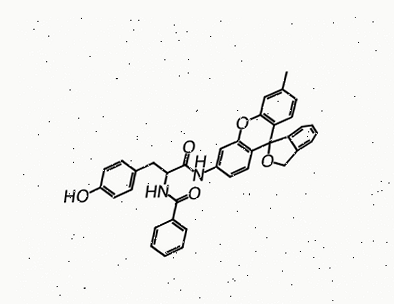 Cc1ccc2c(c1)Oc1cc(NC(=O)C(Cc3ccc(O)cc3)NC(=O)c3ccccc3)ccc1C21OCc2ccccc21